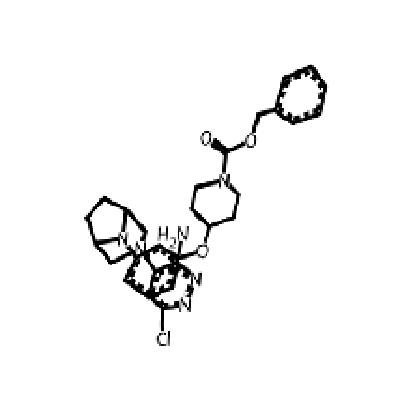 Nc1nnc(Cl)cc1N1CC2CCC(C1)N2c1cccc(OC2CCN(C(=O)OCc3ccccc3)CC2)c1